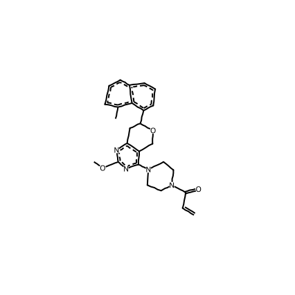 C=CC(=O)N1CCN(c2nc(OC)nc3c2COC(c2cccc4cccc(C)c24)C3)CC1